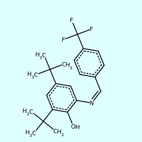 CC(C)(C)c1cc(/N=C\c2ccc(C(F)(F)F)cc2)c(O)c(C(C)(C)C)c1